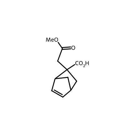 COC(=O)CC1(C(=O)O)CC2C=CC1C2